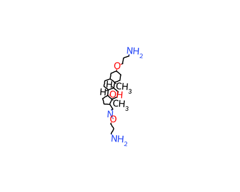 C[C@]12CCC(OCCCN)CC1CC[C@@H]1[C@H]2CC[C@]2(C)C(/C=N/OCCCN)CC[C@@]12O